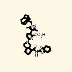 Cc1nn(CC23CC4CC(CC(C4)C2)C3)c(C)c1-c1ccc(N2CCc3cccc(C(=O)Nc4nc5ccccc5s4)c3C2)nc1C(=O)O